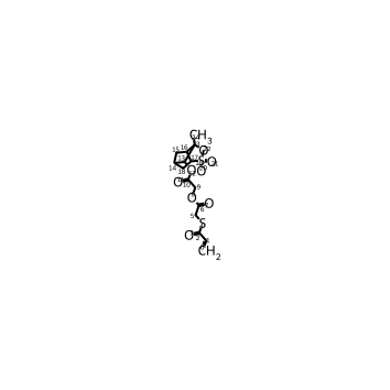 C=CC(=O)SCC(=O)OCC(=O)OC1C2CC3C(C2)S(=O)(=O)OC31C